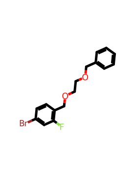 Fc1cc(Br)ccc1COCCOCc1ccccc1